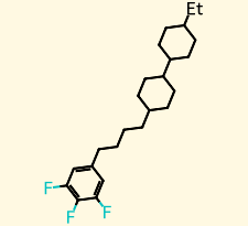 CCC1CCC(C2CCC(CCCCc3cc(F)c(F)c(F)c3)CC2)CC1